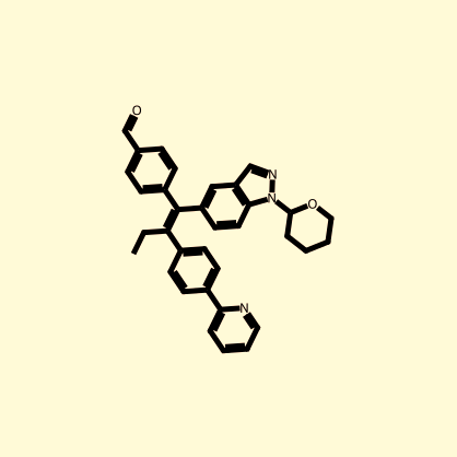 CC/C(=C(\c1ccc(C=O)cc1)c1ccc2c(cnn2C2CCCCO2)c1)c1ccc(-c2ccccn2)cc1